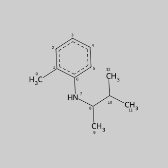 Cc1ccccc1NC(C)C(C)C